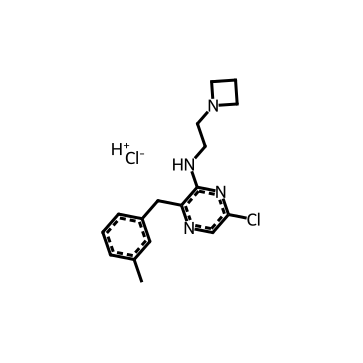 Cc1cccc(Cc2ncc(Cl)nc2NCCN2CCC2)c1.[Cl-].[H+]